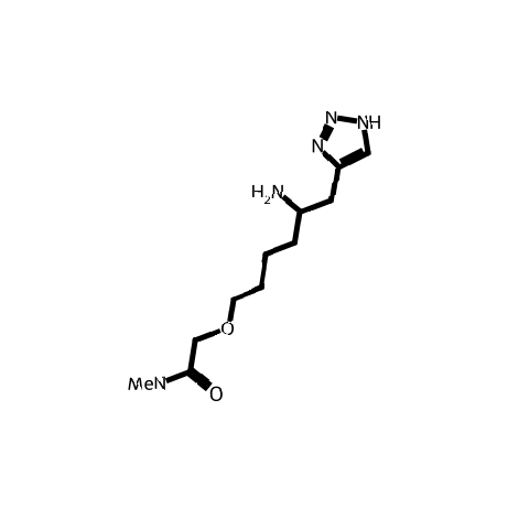 CNC(=O)COCCCCC(N)Cc1c[nH]nn1